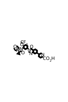 O=C(O)c1ccc(-c2ccc3c(=O)n(-c4ccc(OC(F)(F)F)c(NC(=O)C5(N6CCOCC6)CC5)c4)cnc3c2)cn1